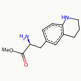 COC(=O)[C@@H](N)Cc1ccc2c(c1)CCCN2